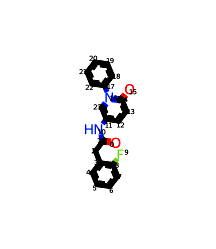 O=C(Cc1ccccc1F)Nc1ccc(=O)n(-c2ccccc2)c1